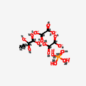 O=C([O-])C(=O)[O-].O=C([O-])C(=O)[O-].O=C([O-])C(=O)[O-].O=P(O)(O)O.[Al+3].[Al+3]